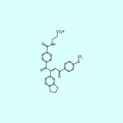 O=C(O)CCNC(=O)c1ccc(C(=O)C(=CC(=O)c2ccc(OC(F)(F)F)cc2)c2ccc3c(c2)CCC3)cc1